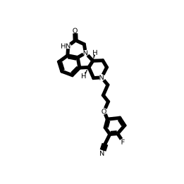 N#Cc1cc(OCCCN2CC[C@H]3[C@@H](C2)c2cccc4c2N3CC(=O)N4)ccc1F